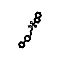 O=S(=O)(NCCCN1CCC(c2ccccc2)CC1)c1ccc2ccccc2c1